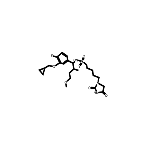 COCCC(C)C(NS(=O)(=O)CCCCCN1CC(=O)NC1=O)c1ccc(F)c(OCC2CC2)c1